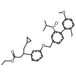 CCOC(=O)CC(CC1CC1)c1cccc(OCc2ccc(-c3cc(OC)ccc3F)c([S+]([O-])C(C)C)c2)c1